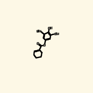 CC(C)(C)c1cc(OC(=O)C2=CCCCC2)cc(C(C)(C)C)c1O